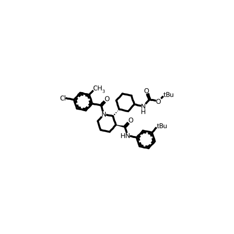 Cc1cc(Cl)ccc1C(=O)N1CCC[C@H](C(=O)Nc2cccc(C(C)(C)C)c2)C1[C@@H]1CCCC(NC(=O)OC(C)(C)C)C1